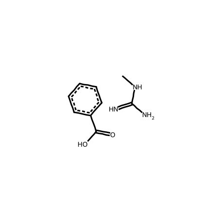 CNC(=N)N.O=C(O)c1ccccc1